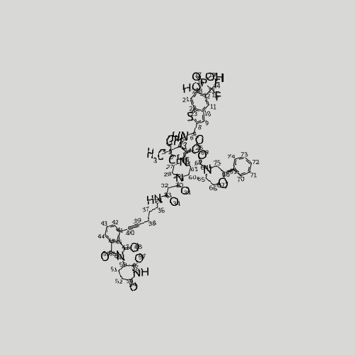 CC(C)(C)C(NC(=O)c1cc2cc(C(F)(F)P(=O)(O)O)ccc2s1)C(=O)N1CCN(C(=O)CC(=O)NCCCC#Cc2cccc3c2C(=O)N(C2CCC(=O)NC2=O)C3=O)C[C@H]1C(=O)N1CCO[C@H](c2ccccc2)C1